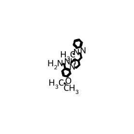 CC(C)Oc1ccc(C(=N)N)c(N2CCC(Cc3nc4ccccc4n3C)CC2)c1